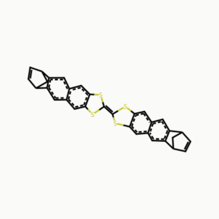 C1=CC2CC1c1cc3cc4c(cc3cc12)SC(=C1Sc2cc3cc5c(cc3cc2S1)C1C=CC5C1)S4